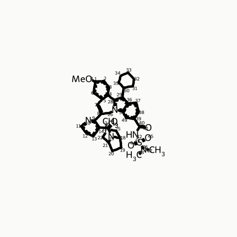 COc1ccc2c(c1)C=C(c1ncccc1C(=O)N1C3CCC1CN(C)C3)Cn1c-2c(C2CCCCC2)c2ccc(C(=O)NS(=O)(=O)N(C)C)cc21